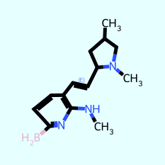 Bc1ccc(/C=C/C2CC(C)CN2C)c(NC)n1